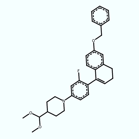 COC(OC)C1CCN(c2ccc(C3=CCCc4cc(OCc5ccccc5)ccc43)c(F)c2)CC1